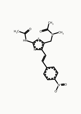 CC(=O)Nc1nc(C=Cc2ccc([N+](=O)[O-])cc2)c(CN(C)C(C)=O)s1